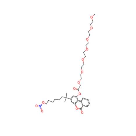 COCCOCCOCCOCCOCCOCCOCC(=O)Oc1cc(C(C)(C)CCCCCCO[N+](=O)[O-])cc2oc(=O)c3ccccc3c12